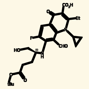 CCc1c(C(=O)O)c(=O)c2cc(F)c(N[C@H](CO)CCC(=O)OC(C)(C)C)c(C=O)c2n1C1CC1